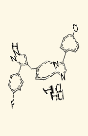 Cl.Cl.Fc1ccc(-c2n[nH]cc2-c2ccc3ncc(-c4ccc(Cl)cc4)n3c2)cc1